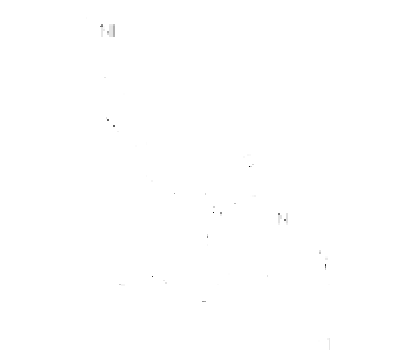 CCN1C(=O)N(c2c(F)cc(NCCNC)cc2F)c2cc(Cl)cc(C)c2-c2cc(Cl)cnc21